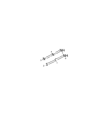 N=C=S.[N-]=[N+]=N